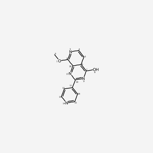 COc1nccc2c(O)nc(-c3ccncc3)nc12